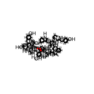 CC[C@H](C)[C@H](NC(=O)[C@H](Cc1ccccc1)NC(=O)[C@H](Cc1c[nH]c2ccccc12)NC(=O)[C@@H]1CCCN1C(=O)[C@@H](N)Cc1ccc(O)cc1)C(=O)N[C@@H](CO)C(=O)N[C@@H](Cc1ccc(O)cc1)C(=O)NCC(=O)NCC(=O)N[C@@H](C)C(=O)N[C@@H](CC(=O)O)C(=O)N[C@@H](Cc1ccc(O)cc1)C(=O)N[C@@H](CCCCN)C(=O)O